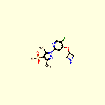 CCS(=O)(=O)c1c(C)nn(-c2cc(OC3CNC3)c(F)cn2)c1C